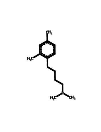 Cc1ccc(CCCCP(C)C)c(C)c1